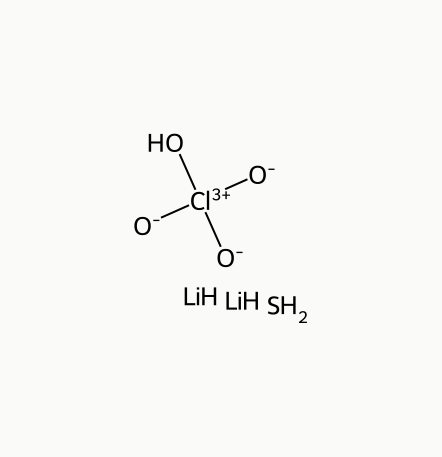 S.[LiH].[LiH].[O-][Cl+3]([O-])([O-])O